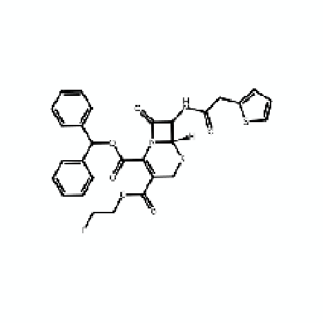 O=C(Cc1cccs1)NC1C(=O)N2C(C(=O)OC(c3ccccc3)c3ccccc3)=C(C(=O)OCCI)CS[C@@H]12